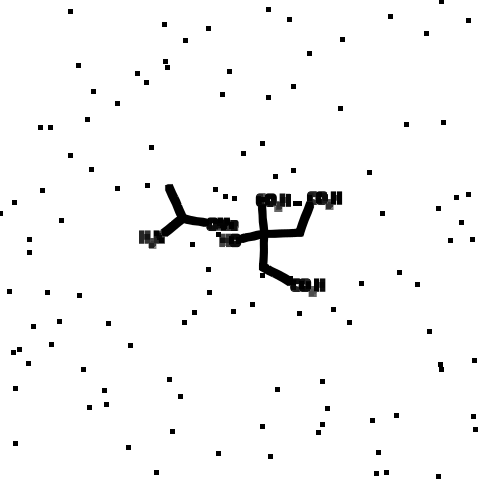 COC(C)N.O=C(O)CC(O)(CC(=O)O)C(=O)O